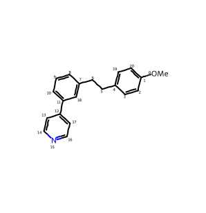 COc1ccc(CCc2cccc(-c3ccncc3)c2)cc1